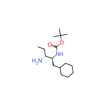 CC[C@@H](N)[C@H](CC1CCCCC1)NC(=O)OC(C)(C)C